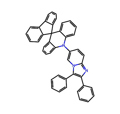 c1ccc(-c2nc3ccc(N4c5ccccc5C5(c6ccccc6-c6ccccc65)c5ccccc54)cn3c2-c2ccccc2)cc1